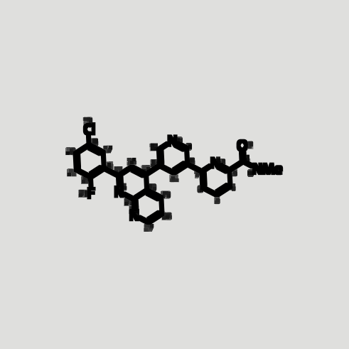 CNC(=O)c1cccc(-c2cncc(-c3cc(-c4cc(Cl)ccc4F)nc4ncccc34)c2)n1